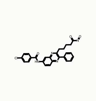 O=NC(=O)CCCCc1nc2cc(NC(=O)c3ccc(Cl)cc3)ccc2nc1-c1ccccc1